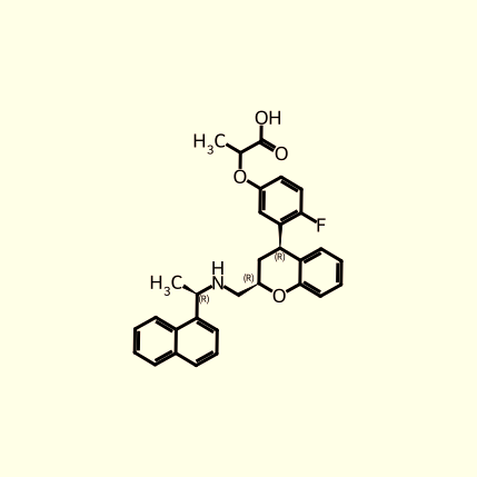 CC(Oc1ccc(F)c([C@@H]2C[C@H](CN[C@H](C)c3cccc4ccccc34)Oc3ccccc32)c1)C(=O)O